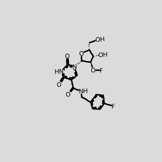 O=C(NCc1ccc(F)cc1)c1cn([C@@H]2O[C@H](CO)[C@H](O)[C@H]2OF)c(=O)[nH]c1=O